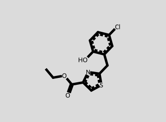 CCOC(=O)c1csc(Cc2cc(Cl)ccc2O)n1